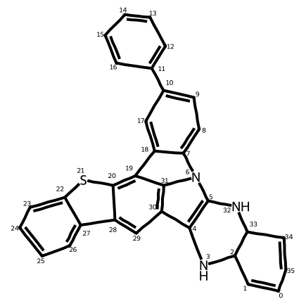 C1=CC2Nc3c(n4c5ccc(-c6ccccc6)cc5c5c6sc7ccccc7c6cc3c54)NC2C=C1